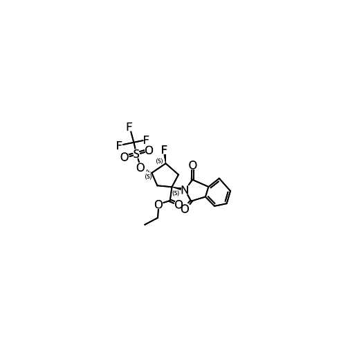 CCOC(=O)[C@]1(N2C(=O)c3ccccc3C2=O)C[C@H](OS(=O)(=O)C(F)(F)F)[C@@H](F)C1